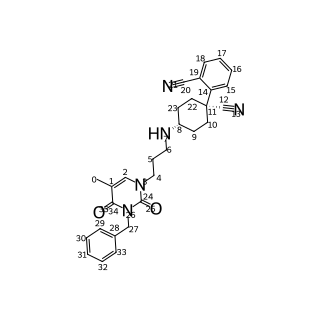 Cc1cn(CCCN[C@H]2CC[C@](C#N)(c3ccccc3C#N)CC2)c(=O)n(Cc2ccccc2)c1=O